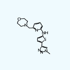 Cn1cc(-c2ccc(Nc3cccc(CN4CCOCC4)n3)s2)nn1